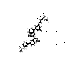 CC(C)C(=O)Nc1cncc(-c2ccc3[nH]nc(-c4cc5c(-c6cc(F)cc(OCCN(C)C)c6)nccc5[nH]4)c3n2)c1